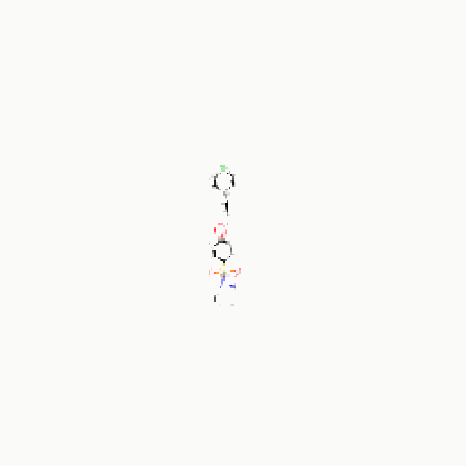 CN(CC(=O)O)S(=O)(=O)c1ccc(OCC#Cc2ccc(Cl)cc2)cc1